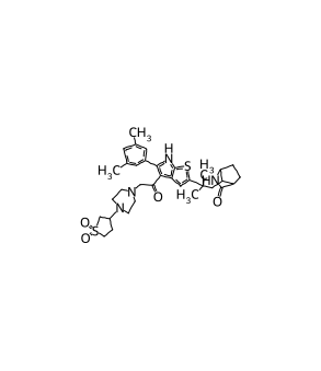 Cc1cc(C)cc(-c2[nH]c3sc(C(C)(C)CC4C5CCC4C(=O)N5)cc3c2C(=O)CN2CCN(C3CCS(=O)(=O)C3)CC2)c1